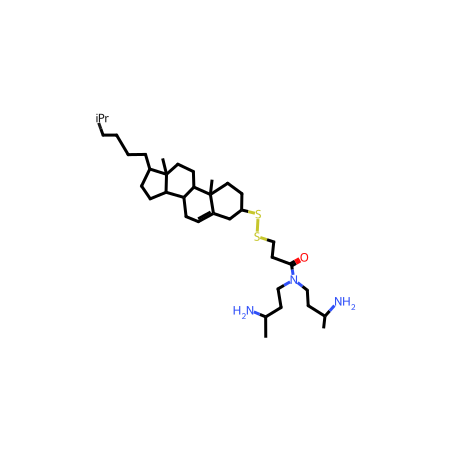 CC(C)CCCCC1CCC2C3CC=C4CC(SSCCC(=O)N(CCC(C)N)CCC(C)N)CCC4(C)C3CCC12C